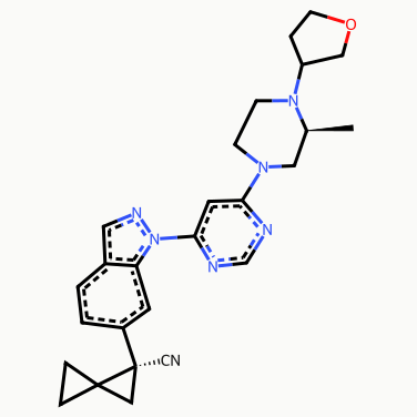 C[C@H]1CN(c2cc(-n3ncc4ccc([C@@]5(C#N)CC56CC6)cc43)ncn2)CCN1C1CCOC1